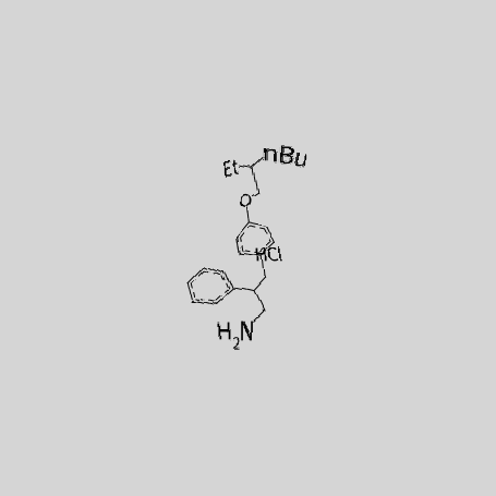 CCCCC(CC)COc1ccc(CC(CN)c2ccccc2)cc1.Cl